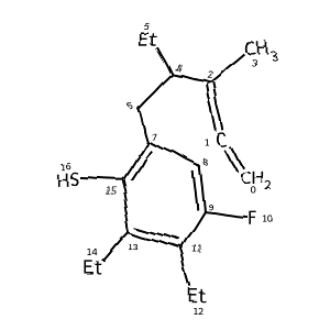 C=C=C(C)C(CC)Cc1cc(F)c(CC)c(CC)c1S